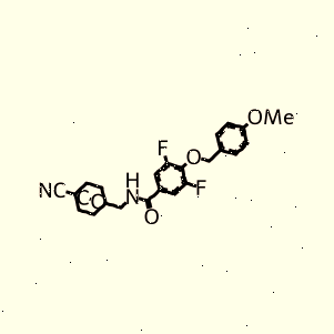 COc1ccc(COc2c(F)cc(C(=O)NCC34CCC(C#N)(CC3)CC4)cc2F)cc1